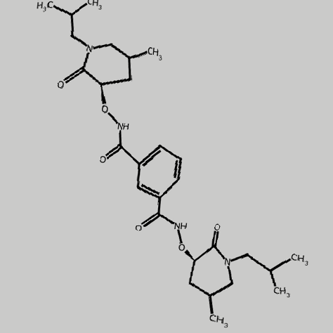 CC(C)CN1CC(C)C[C@@H](ONC(=O)c2cccc(C(=O)NO[C@@H]3CC(C)CN(CC(C)C)C3=O)c2)C1=O